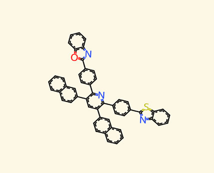 c1ccc2cc(-c3cc(-c4ccc5ccccc5c4)c(-c4ccc(-c5nc6ccccc6s5)cc4)nc3-c3ccc(-c4nc5ccccc5o4)cc3)ccc2c1